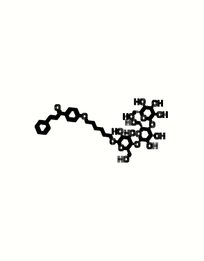 O=C(C=Cc1ccccc1)c1ccc(OCCCCCCO[C@@H]2O[C@H](CO)[C@@H](O[C@@H]3O[C@H](CO)[C@H](O[C@H]4O[C@H](CO)[C@H](O)[C@H](O)[C@H]4O)[C@H](O)[C@H]3O)[C@H](O)[C@H]2O)cc1